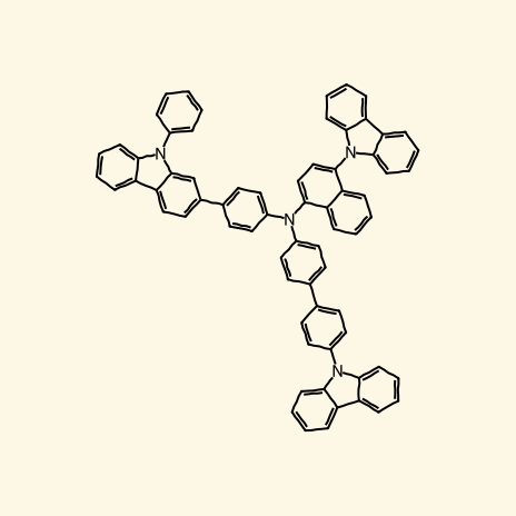 c1ccc(-n2c3ccccc3c3ccc(-c4ccc(N(c5ccc(-c6ccc(-n7c8ccccc8c8ccccc87)cc6)cc5)c5ccc(-n6c7ccccc7c7ccccc76)c6ccccc56)cc4)cc32)cc1